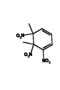 CC1([N+](=O)[O-])C=CC=C([N+](=O)[O-])C1(C)[N+](=O)[O-]